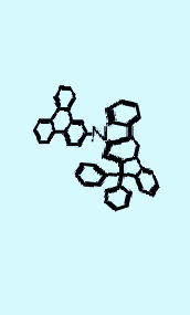 c1ccc(C2(c3ccccc3)c3ccccc3-c3cc4c5ccccc5n(-c5ccc6c7ccccc7c7ccccc7c6c5)c4cc32)cc1